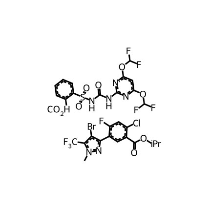 CC(C)OC(=O)c1cc(-c2nn(C)c(C(F)(F)F)c2Br)c(F)cc1Cl.O=C(Nc1nc(OC(F)F)cc(OC(F)F)n1)NS(=O)(=O)c1ccccc1C(=O)O